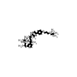 C[C@H](CNC(C)(C)C)Oc1cc(C(C)(C)CCC(C)(C)Nc2cnc(-c3ccc(OCCCOCC(C)(C)C)cc3)cn2)ccn1